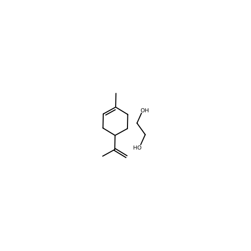 C=C(C)C1CC=C(C)CC1.OCCO